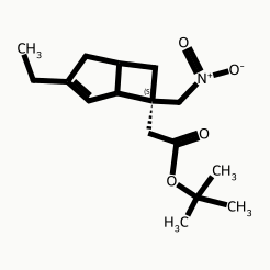 CCC1=CC2C(C1)C[C@@]2(CC(=O)OC(C)(C)C)C[N+](=O)[O-]